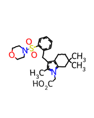 Cc1c(Cc2ccccc2S(=O)(=O)N2CCOCC2)c2c(n1CC(=O)O)CC(C)(C)CC2